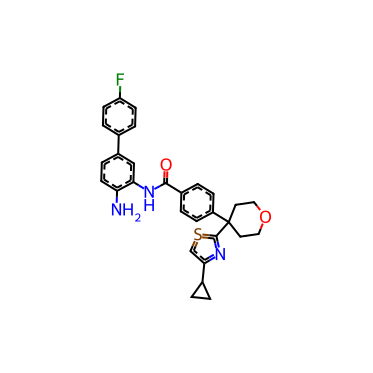 Nc1ccc(-c2ccc(F)cc2)cc1NC(=O)c1ccc(C2(c3nc(C4CC4)cs3)CCOCC2)cc1